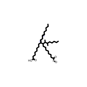 CCCCC/C=C/C/C=C(/CCCCCCCC(=O)O)C(CCCCCCCC(=O)N=O)C(C)C(C)CCCCC